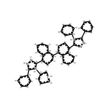 c1ccc(-c2nnc(-c3ccc(-c4ccc(-c5nnc(-c6ccccc6)n5-c5ccccc5)c5ccccc45)c4ccccc34)n2-c2ccccc2)cc1